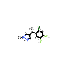 CC[C@@H](c1cnn(CC)c1)c1cc(F)c(F)cc1Cl